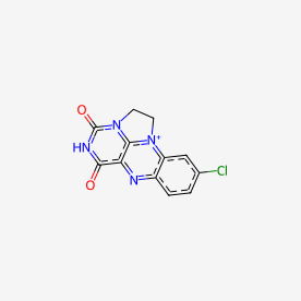 O=c1[nH]c(=O)n2c3c1nc1ccc(Cl)cc1[n+]3CC2